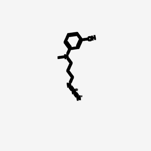 CN(CCCN=[N+]=[N-])c1cccc(O)c1